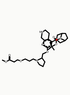 COC(=O)CCOCCCN1CCCC1COc1nc2c(c(N3CC4CCC(C3)N4C(=O)OC(C)(C)C)n1)CCNC2